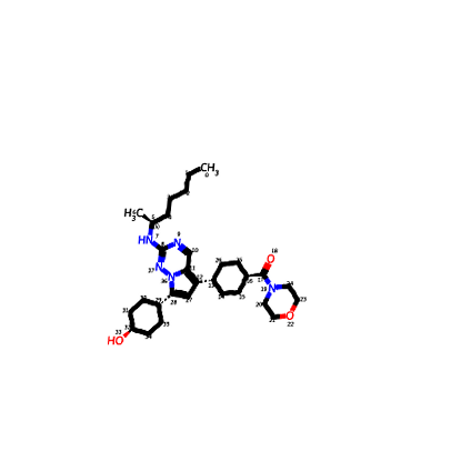 CCCCC[C@H](C)Nc1ncc2c([C@H]3CC[C@H](C(=O)N4CCOCC4)CC3)cc([C@H]3CC[C@H](O)CC3)n2n1